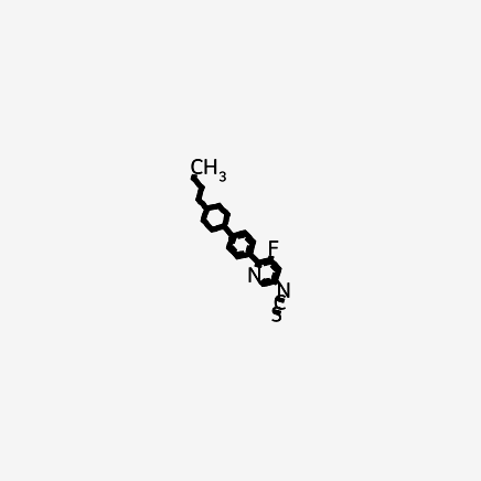 CCCCC1CCC(c2ccc(-c3ncc(N=C=S)cc3F)cc2)CC1